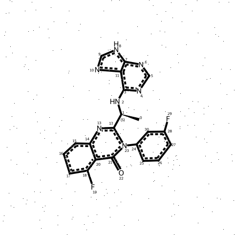 C[C@H](Nc1ncnc2[nH]cnc12)c1nc2cccc(F)c2c(=O)n1-c1cccc(F)c1